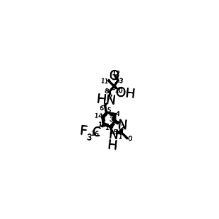 Cc1nc2cc(CNCC3(O)COC3)cc(C(F)(F)F)c2[nH]1